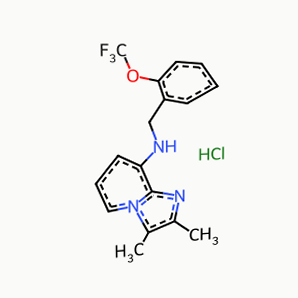 Cc1nc2c(NCc3ccccc3OC(F)(F)F)cccn2c1C.Cl